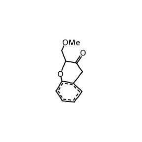 COCC1Oc2ccccc2CC1=O